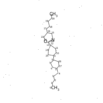 CCCCCC1CCC(C2CCC(C3=NCC(CCCCC)CO3)CC2)CC1